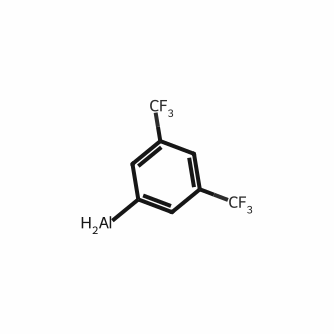 FC(F)(F)c1c[c]([AlH2])cc(C(F)(F)F)c1